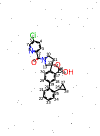 O=C(c1ccc(Cl)cn1)N1CCC2(C1)OB(O)c1cc(-c3ccccc3C3CC3)ccc12